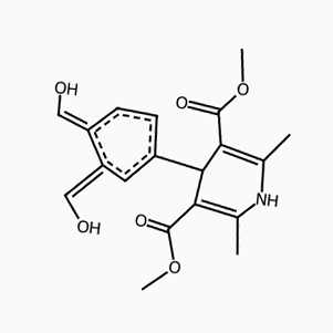 COC(=O)C1=C(C)NC(C)=C(C(=O)OC)C1c1ccc(=CO)c(=CO)c1